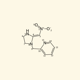 O=[N+]([O-])C=C1NCCN1Cc1ccccn1